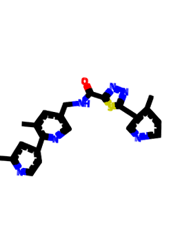 Cc1cc(-c2ncc(CNC(=O)c3nnc(-c4cnccc4C)s3)cc2C)ccn1